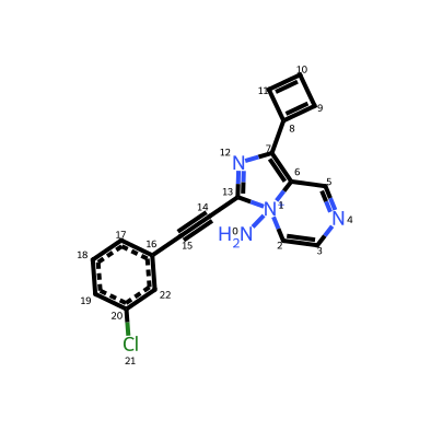 N[N+]12C=CN=CC1=C(C1=CC=C1)N=C2C#Cc1cccc(Cl)c1